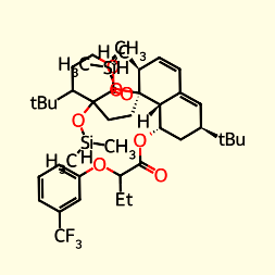 CCC(Oc1cccc(C(F)(F)F)c1)C(=O)O[C@H]1C[C@H](C(C)(C)C)C=C2C=C[C@H](C)[C@](CCC3(O[SiH](C)C)C(=O)OCCC3C(C)(C)C)(O[SiH](C)C)[C@H]21